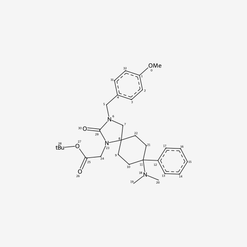 COc1ccc(CN2CC3(CCC(c4ccccc4)(N(C)C)CC3)N(CC(=O)OC(C)(C)C)C2=O)cc1